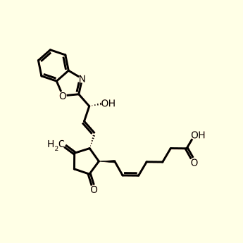 C=C1CC(=O)[C@H](C/C=C\CCCC(=O)O)[C@H]1/C=C/[C@@H](O)c1nc2ccccc2o1